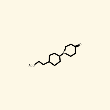 CC(=O)OCCC1CCC(N2CCC(=O)CC2)CC1